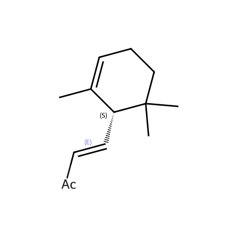 CC(=O)/C=C/[C@@H]1C(C)=CCCC1(C)C